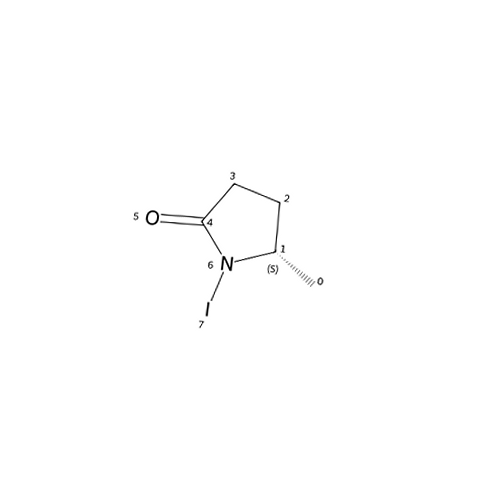 C[C@H]1CCC(=O)N1I